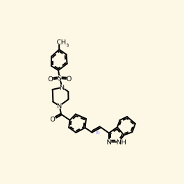 Cc1ccc(S(=O)(=O)N2CCN(C(=O)c3ccc(/C=C/c4n[nH]c5ccccc45)cc3)CC2)cc1